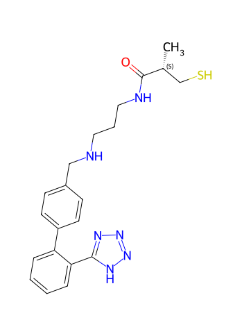 C[C@H](CS)C(=O)NCCCNCc1ccc(-c2ccccc2-c2nnn[nH]2)cc1